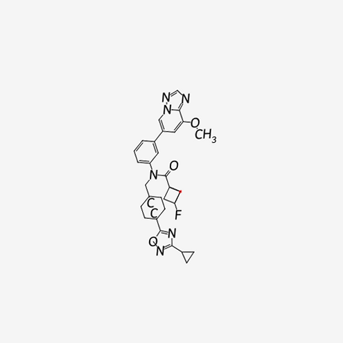 COc1cc(-c2cccc(N(CC34CCC(c5nc(C6CC6)no5)(CC3)CC4)C(=O)C34CC(F)(C3)C4)c2)cn2ncnc12